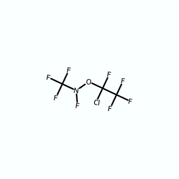 FN(OC(F)(Cl)C(F)(F)F)C(F)(F)F